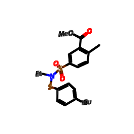 CCN(Sc1ccc(C(C)(C)C)cc1)S(=O)(=O)c1ccc(C)c(C(=O)OC)c1